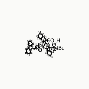 CC(C)(C)OC(=O)n1cc(C[C@H](NC(=O)OCC2c3ccccc3-c3ccccc32)C(=O)N2Cc3ccccc3C[C@H]2C(=O)O)c2ccccc21